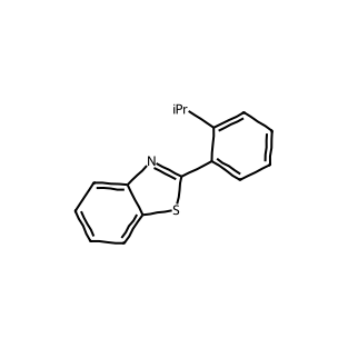 CC(C)c1ccccc1-c1nc2ccccc2s1